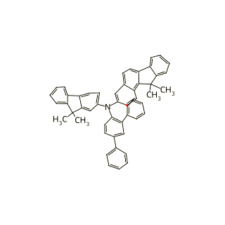 CC1(C)c2ccccc2-c2ccc(N(c3ccc4c5c(ccc4c3)-c3ccccc3C5(C)C)c3ccc(-c4ccccc4)cc3-c3ccccc3)cc21